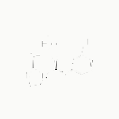 Cl.NC1=NCCN1C(=O)Nc1cccc(Cl)c1.O